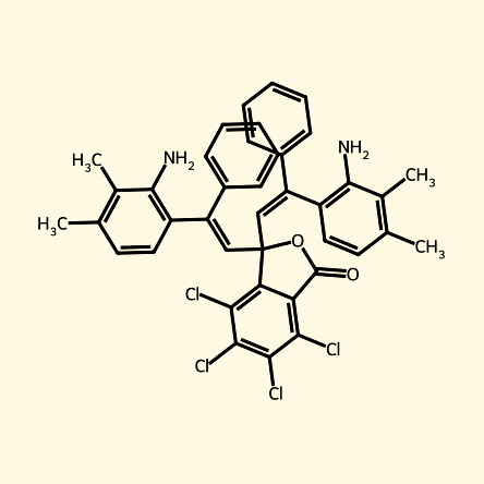 Cc1ccc(C(=CC2(C=C(c3ccccc3)c3ccc(C)c(C)c3N)OC(=O)c3c(Cl)c(Cl)c(Cl)c(Cl)c32)c2ccccc2)c(N)c1C